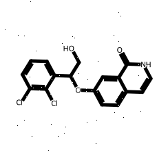 O=c1[nH]ccc2ccc(OC(CO)c3cccc(Cl)c3Cl)cc12